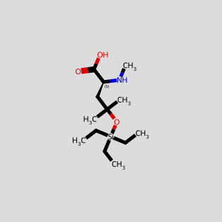 CC[Si](CC)(CC)OC(C)(C)C[C@H](NC)C(=O)O